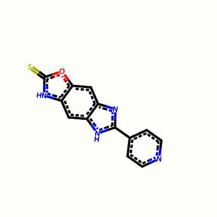 S=c1[nH]c2cc3[nH]c(-c4ccncc4)nc3cc2o1